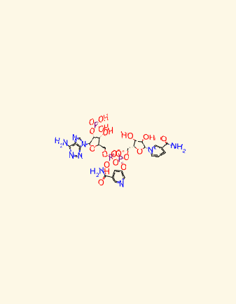 NC(=O)c1ccc[n+]([C@@H]2O[C@H](COP(=O)([O-])OP(=O)(O)OC[C@H]3O[C@@H](n4cnc5c(N)ncnc54)[C@H](OP(=O)(O)O)[C@@H]3O)[C@@H](O)[C@H]2O)c1.NC(=O)c1cccnc1